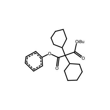 CC(C)COC(=O)C(C(=O)Oc1ccccc1)(C1CCCCC1)C1CCCCC1